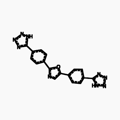 c1cc(-c2cnc(-c3ccc(-c4nnn[nH]4)cc3)o2)ccc1-c1nnn[nH]1